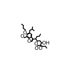 CCCCOc1c(CC(C)C)cc2c(C(CCC)C3CC(O)C4(OC4CC)C(=O)O3)coc2c1C=O